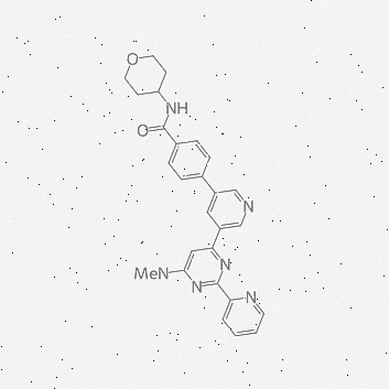 CNc1cc(-c2cncc(-c3ccc(C(=O)NC4CCOCC4)cc3)c2)nc(-c2ccccn2)n1